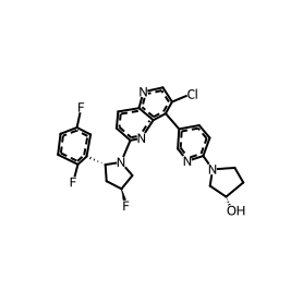 O[C@H]1CCN(c2ccc(-c3c(Cl)cnc4ccc(N5C[C@@H](F)C[C@@H]5c5cc(F)ccc5F)nc34)cn2)C1